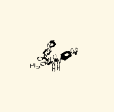 Cn1cc(NC(=O)Nc2ccc(OCF)cc2)nc1C(=O)N1CCN(c2ccccn2)CC1